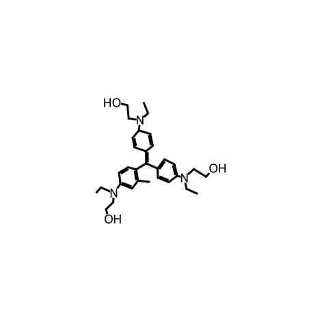 CCN(CCO)c1ccc(C(=C2C=CC(N(CC)CCO)C=C2)c2ccc(N(CC)CCO)cc2C)cc1